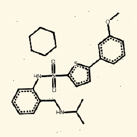 C1CCCCC1.COc1cccc(-c2ccc(S(=O)(=O)Nc3ccccc3CNC(C)C)s2)c1